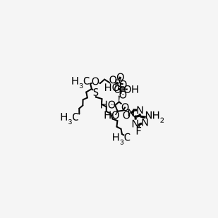 CCCCCCCCCCCCSC(CCCCCCC)C(C)OCCCOP(=O)(O)OP(=O)(O)OC[C@H]1O[C@@H](On2cnc3c(N)nc(F)nc32)[C@@H](O)[C@@H]1O